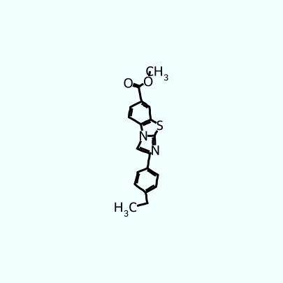 CCc1ccc(-c2cn3c(n2)sc2cc(C(=O)OC)ccc23)cc1